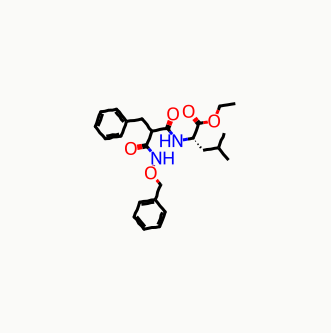 CCOC(=O)[C@H](CC(C)C)NC(=O)C(Cc1ccccc1)C(=O)NOCc1ccccc1